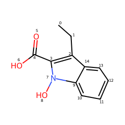 CCc1c(C(=O)O)n(O)c2ccccc12